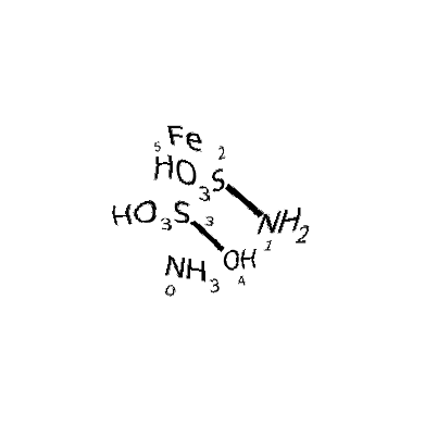 N.NS(=O)(=O)O.O=S(=O)(O)O.[Fe]